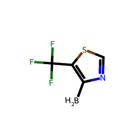 Bc1ncsc1C(F)(F)F